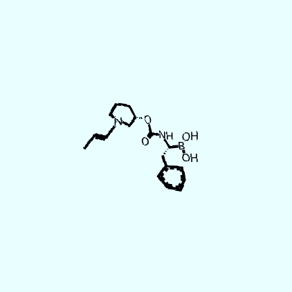 CC=CN1CCC[C@H](OC(=O)N[C@@H](Cc2ccccc2)B(O)O)C1